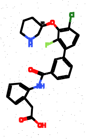 O=C(O)Cc1ccccc1NC(=O)c1cccc(-c2ccc(Cl)c(O[C@@H]3CCCNC3)c2F)c1